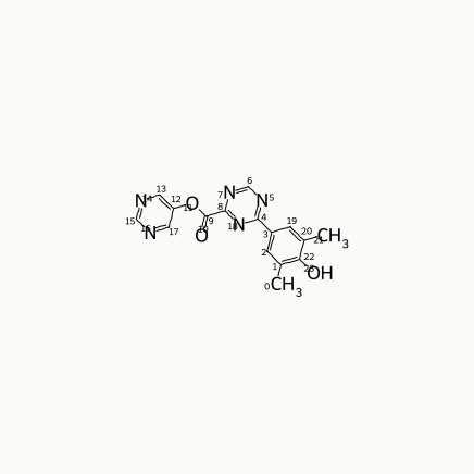 Cc1cc(-c2ncnc(C(=O)Oc3cncnc3)n2)cc(C)c1O